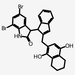 O=C1Nc2c(Br)cc(Br)cc2C1C1C(Cc2cc(O)c3c(c2O)CCCC3)=Cc2ccccc21